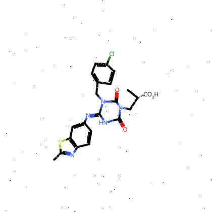 Cc1nc2ccc(/N=c3\[nH]c(=O)n(C[C@H](C)C(=O)O)c(=O)n3Cc3ccc(Cl)cc3)cc2s1